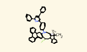 CC1(C)/C2=C/CN(c3ccc(-c4cc(-c5ccccc5)cc(-c5ccccc5)n4)cc3)c3cc4c5ccccc5c5ccccc5c4cc3C(F)CC2c2ccccc21